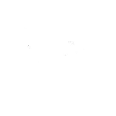 Cc1ccc(S(=O)(=O)Nc2ccc3c(c2)C(=O)NC3=O)cc1